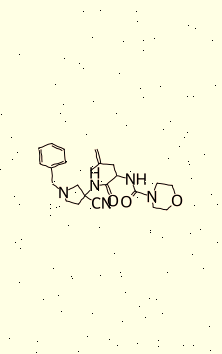 C=C(C)CC(NC(=O)N1CCOCC1)C(=O)NC1(C#N)CCN(Cc2ccccc2)C1